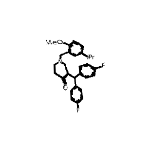 COc1ccc(C(C)C)cc1CN1CCC(=O)C(C(c2ccc(F)cc2)c2ccc(F)cc2)C1